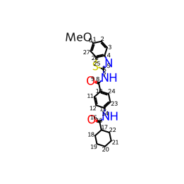 COc1ccc2nc(NC(=O)c3ccc(NC(=O)C4CCCCC4)cc3)sc2c1